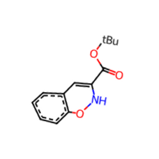 CC(C)(C)OC(=O)C1=Cc2ccccc2ON1